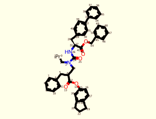 CC(C)CN(CC(Cc1ccccc1)C(=O)Oc1ccc2c(c1)CCC2)C(=O)N[C@@H](Cc1ccc(-c2ccccc2)cc1)C(=O)OCc1ccccc1